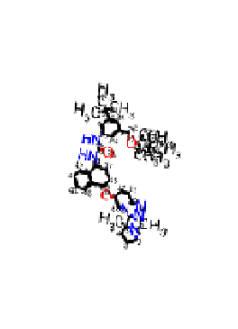 CN1CCC[C@@]1(C)c1nnc2ccc(O[C@@H]3CC[C@H](NC(=O)Nc4cc(CO[Si](C)(C)C(C)(C)C)cc(C(C)(C)C)c4)c4ccccc43)cn12